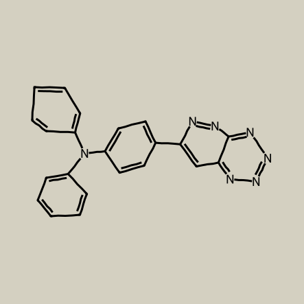 c1ccc(N(c2ccccc2)c2ccc(-c3cc4nnnnc4nn3)cc2)cc1